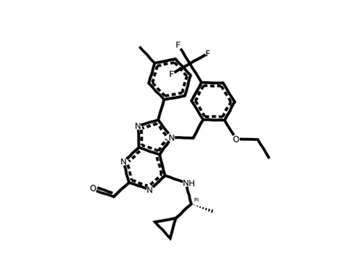 CCOc1ccc(C(F)(F)F)cc1Cn1c(-c2cccc(C)c2)nc2nc(C=O)nc(N[C@H](C)C3CC3)c21